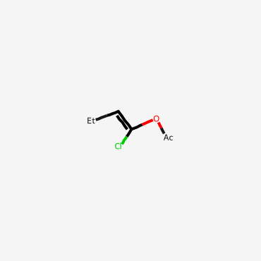 CCC=C(Cl)OC(C)=O